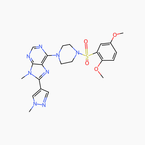 COc1ccc(OC)c(S(=O)(=O)N2CCN(c3ncnc4c3nc(-c3cnn(C)c3)n4C)CC2)c1